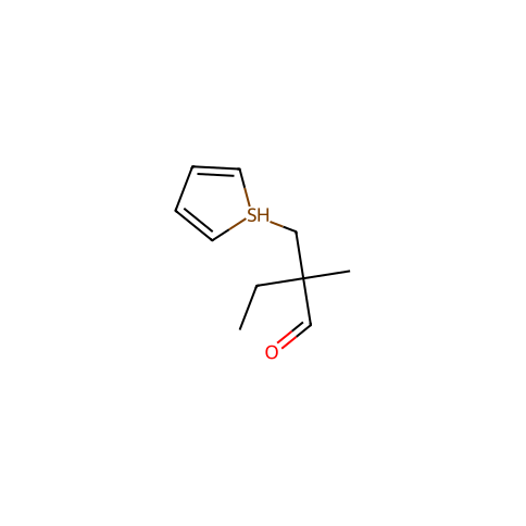 CCC(C)(C=O)C[SH]1C=CC=C1